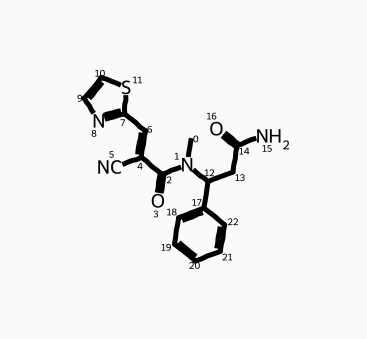 CN(C(=O)C(C#N)=Cc1nccs1)C(CC(N)=O)c1ccccc1